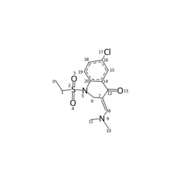 CCS(=O)(=O)N1CC(=CN(C)C)C(=O)c2cc(Cl)ccc21